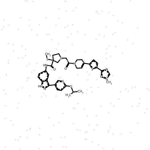 CSC1(C(=O)Nc2ccc3[nH]nc(-c4ccc(OC(C)C)nc4)c3c2)CCN(CC(=O)N2CC=C(c3ccc(-c4ncn(C)n4)s3)CC2)C1